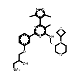 CNCC(O)COc1cccc(-c2nc(NC[C@H]3COCCN3C3COC3)c(C)c(-c3c(C)noc3C)n2)c1